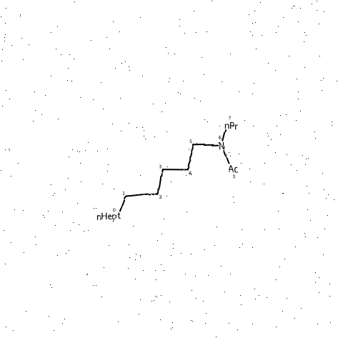 CCCCCCCCCCCCN(CCC)C(C)=O